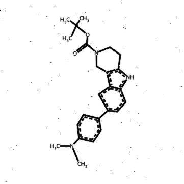 CN(C)c1ccc(-c2ccc3[nH]c4c(c3c2)CN(C(=O)OC(C)(C)C)CC4)cc1